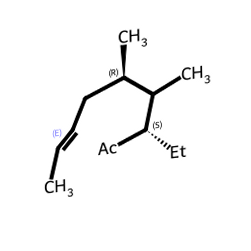 C/C=C/C[C@@H](C)C(C)[C@H](CC)C(C)=O